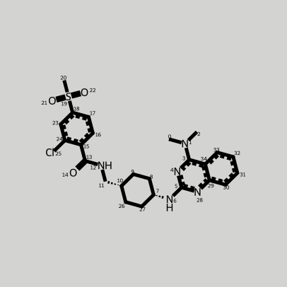 CN(C)c1nc(N[C@H]2CC[C@@H](CNC(=O)c3ccc(S(C)(=O)=O)cc3Cl)CC2)nc2ccccc12